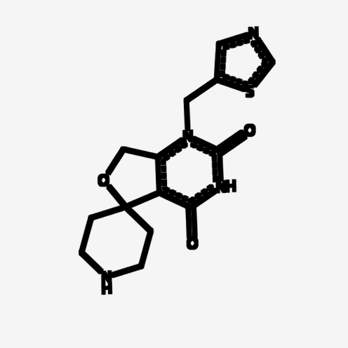 O=c1[nH]c(=O)n(Cc2cncs2)c2c1C1(CCNCC1)OC2